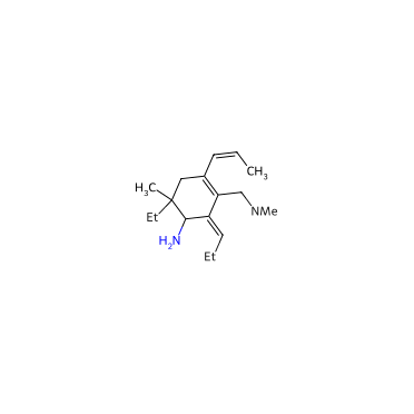 C/C=C\C1=C(CNC)C(=C/CC)/C(N)C(C)(CC)C1